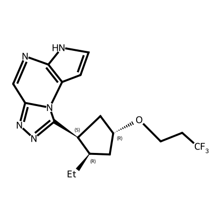 CC[C@@H]1C[C@@H](OCCC(F)(F)F)C[C@@H]1c1nnc2cnc3[nH]ccc3n12